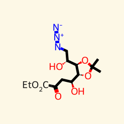 CCOC(=O)C(=O)C[C@H](O)[C@H]1OC(C)(C)O[C@@H]1[C@H](O)CN=[N+]=[N-]